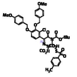 COc1ccc(COc2ccc(/C(=N/N(C(=O)O)C(=O)O)C(=O)N(CCSS(=O)(=O)c3ccc(C)cc3)C(=O)OC(C)(C)C)c(Cl)c2OCc2ccc(OC)cc2)cc1